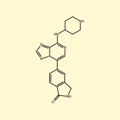 O=C1NCc2cc(-c3cnc(NC4CCNCC4)c4ncnn34)ccc21